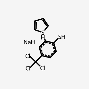 Sc1ccc(C(Cl)(Cl)Cl)cc1[SH]1C=CC=C1.[NaH]